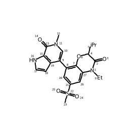 CCN1C(=O)C(C(C)C)Oc2c(-c3cn(C)c(=O)c4[nH]ccc34)cc(S(C)(=O)=O)cc21